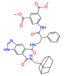 COC(=O)c1cc(NC(=O)C(CNC(=O)c2cc3nc[nH]c3cc2C(=O)NCC23CC4CC(CC(C4)C2)C3)c2ccccc2)cc(C(=O)OC)c1